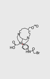 O=COCC1CCCN2CCN(CC(=O)O)CCCN(CC1)CC(Cc1ccc(NC(=O)CBr)cc1)C2